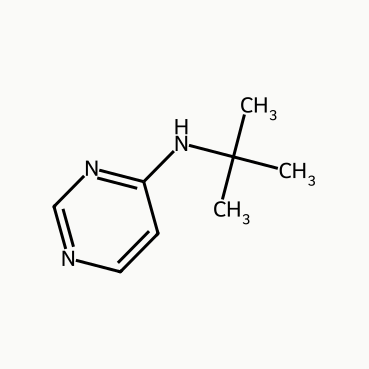 CC(C)(C)Nc1ccncn1